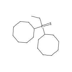 CCP(=S)(C1CCCCCCC1)C1CCCCCCC1